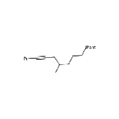 [CH2]CCC(C)CCCC(C)CC#CC(C)C